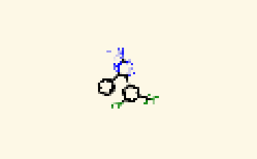 Nc1nnc(-c2cc(Cl)cc(C(F)(F)F)c2)c(-c2ccccc2)n1